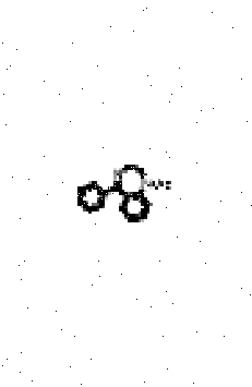 CC(=O)N1CCN=C(c2ccccc2)c2ccccc21